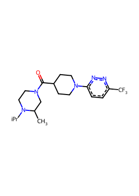 CC(C)N1CCN(C(=O)C2CCN(c3ccc(C(F)(F)F)nn3)CC2)CC1C